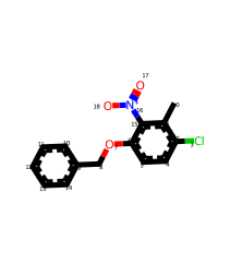 Cc1c(Cl)ccc(OCc2ccccc2)c1[N+](=O)[O-]